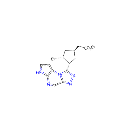 CCOC(=O)C[C@@H]1C[C@@H](CC)[C@@H](c2nnc3cnc4[nH]ccc4n23)C1